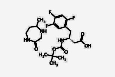 CC(C)(C)OC(=O)N[C@@H](CC(=O)O)Cc1cc(F)c(F)cc1F.CC1CCNC(=O)CN1